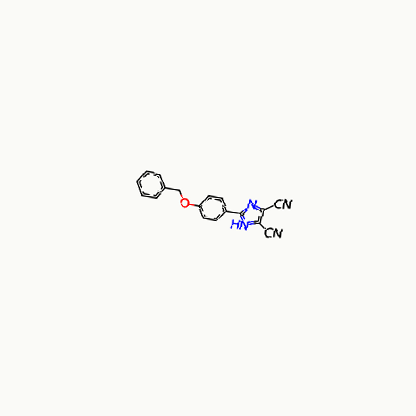 N#Cc1nc(-c2ccc(OCc3ccccc3)cc2)[nH]c1C#N